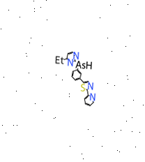 CCc1ccnc([AsH]c2cccc(-c3cnc(-c4ccccn4)s3)c2)n1